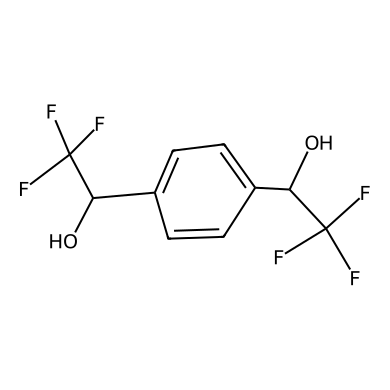 OC(c1ccc(C(O)C(F)(F)F)cc1)C(F)(F)F